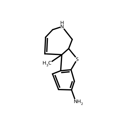 CC12C=CCNCC1Sc1cc(N)ccc12